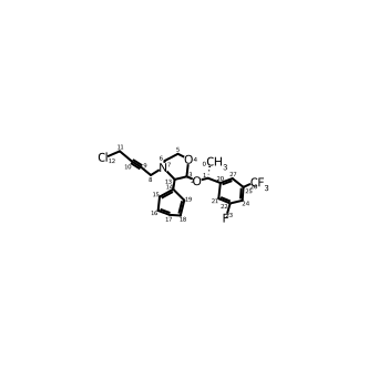 C[C@@H](OC1OCCN(CC#CCCl)C1c1ccccc1)c1cc(F)cc(C(F)(F)F)c1